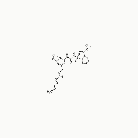 COCOSPSCc1cc(OC)nc(NC(=O)NS(=O)(=O)c2ccccc2C(=O)OC)n1